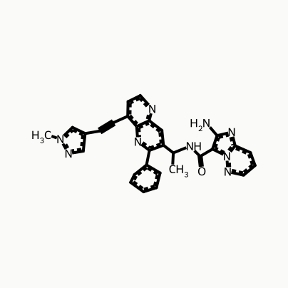 CC(NC(=O)c1c(N)nc2cccnn12)c1cc2nccc(C#Cc3cnn(C)c3)c2nc1-c1ccccc1